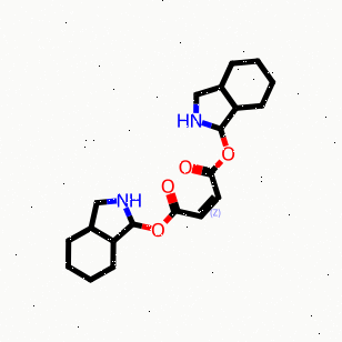 O=C(/C=C\C(=O)OC1NCC2CCCCC21)OC1NCC2CCCCC21